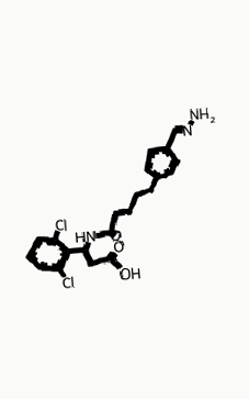 NN=Cc1ccc(CCCCC(=O)NC(CC(=O)O)c2c(Cl)cccc2Cl)cc1